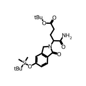 CC(C)(C)OC(=O)CCC(C(N)=O)N1Cc2cc(O[Si](C)(C)C(C)(C)C)ccc2C1=O